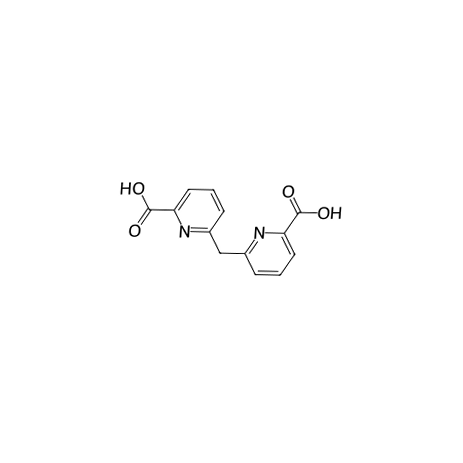 O=C(O)c1cccc(Cc2cccc(C(=O)O)n2)n1